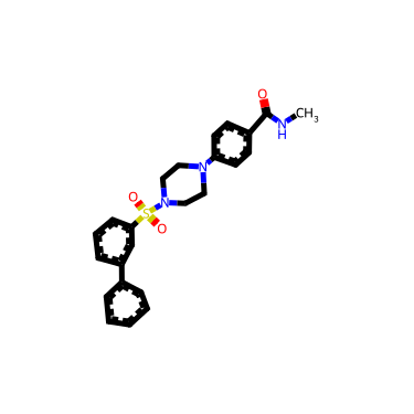 CNC(=O)c1ccc(N2CCN(S(=O)(=O)c3cccc(-c4ccccc4)c3)CC2)cc1